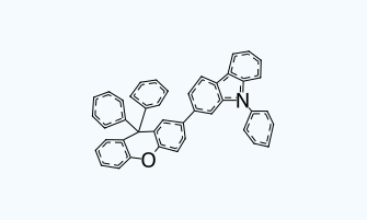 c1ccc(-n2c3ccccc3c3ccc(-c4ccc5c(c4)C(c4ccccc4)(c4ccccc4)c4ccccc4O5)cc32)cc1